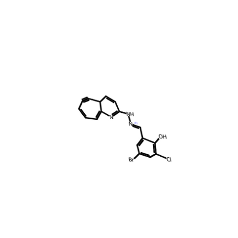 Oc1c(Cl)cc(Br)cc1/C=N/NC1=NC2=CC=CC#CC2C=C1